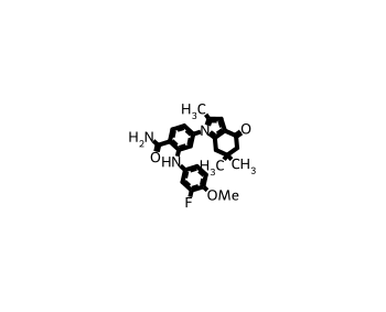 COc1ccc(Nc2cc(-n3c(C)cc4c3CC(C)(C)CC4=O)ccc2C(N)=O)cc1F